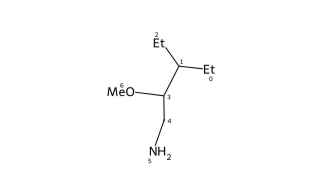 CCC(CC)C(CN)OC